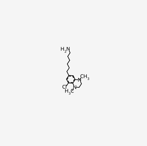 CN1CCN(C)c2c(Cl)cc(CCCCCCN)cc21